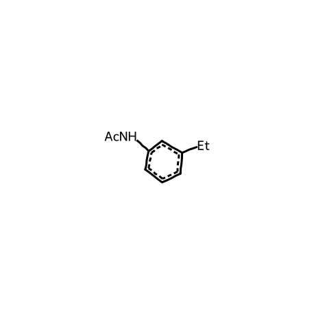 CCc1cccc(NC(C)=O)c1